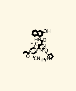 C=CC(=O)N1CCN(c2nc(OC[C@@H]3CCCN3C(C)C)nc(C(=O)Nc3cc(O)cc4ccccc34)c2C(F)(F)F)C[C@@H]1CC#N